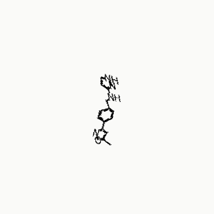 Cc1cc(-c2ccc(CNc3cc[nH]n3)cc2)no1